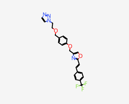 FC(F)(F)c1ccc(/C=C/c2nc(COc3ccc(COCCn4ccnn4)cc3)co2)cc1